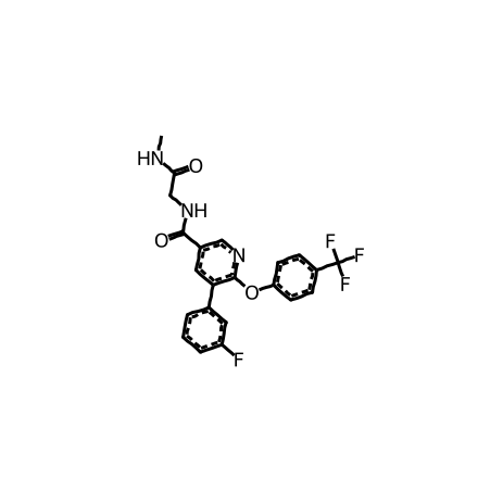 CNC(=O)CNC(=O)c1cnc(Oc2ccc(C(F)(F)F)cc2)c(-c2cccc(F)c2)c1